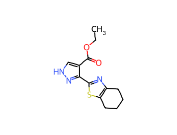 CCOC(=O)c1c[nH]nc1-c1nc2c(s1)CCCC2